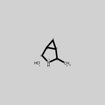 CC1NCC2CC21.Cl